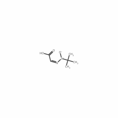 CC(C)(C)[S+]([O-])/N=C\C(=O)O